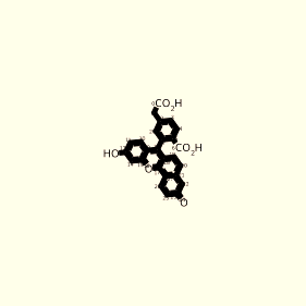 O=C(O)Cc1ccc(C(=O)O)c(-c2c3ccc(O)cc3oc3c2ccc2cc(=O)ccc23)c1